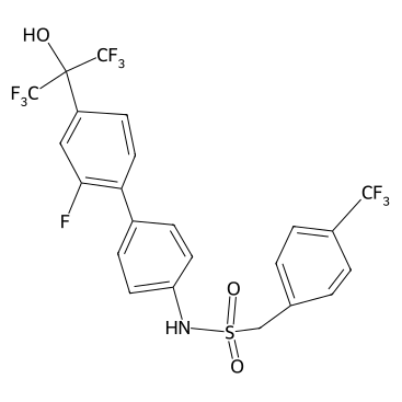 O=S(=O)(Cc1ccc(C(F)(F)F)cc1)Nc1ccc(-c2ccc(C(O)(C(F)(F)F)C(F)(F)F)cc2F)cc1